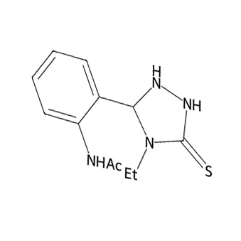 CCN1C(=S)NNC1c1ccccc1NC(C)=O